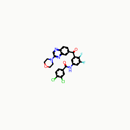 O=C(Nc1cc(F)c(F)c(C(=O)c2ccc3ncc(N4CCOCC4)nc3c2)c1)c1ccc(Cl)c(Cl)c1